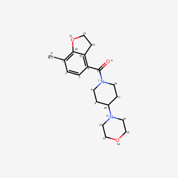 CC(C)c1ccc(C(=O)N2CCC(N3CCOCC3)CC2)c2c1OCC2